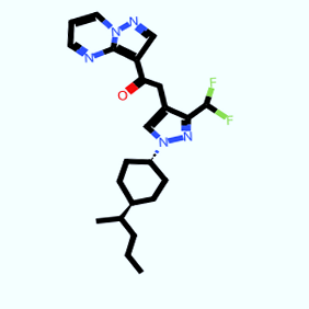 CCCC(C)[C@H]1CC[C@H](n2cc(CC(=O)c3cnn4cccnc34)c(C(F)F)n2)CC1